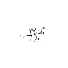 CC(C)(C)[Si](C)(C)[SiH2][SiH3]